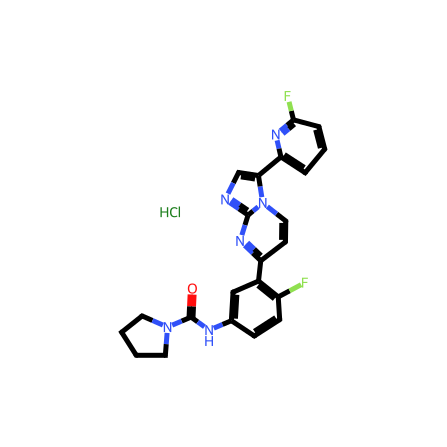 Cl.O=C(Nc1ccc(F)c(-c2ccn3c(-c4cccc(F)n4)cnc3n2)c1)N1CCCC1